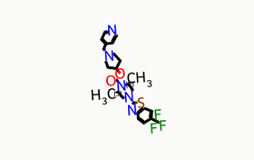 C[C@@H]1CN(c2nc3ccc(C(F)(F)F)cc3s2)C[C@H](C)N1C(=O)OC1CCN(Cc2ccncc2)CC1